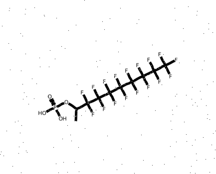 CC(OP(=O)(O)O)C(F)(F)C(F)(F)C(F)(F)C(F)(F)C(F)(F)C(F)(F)C(F)(F)C(F)(F)F